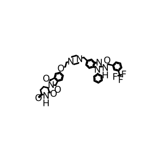 O=C1CCC(N2C(=O)c3ccc(OCCN4CCN(Cc5ccc6c(c5)nc(NC(=O)c5cccc(C(F)(F)F)c5)n6-c5ccccc5)CC4)cc3C2=O)C(=O)N1